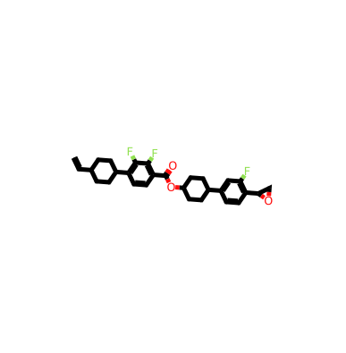 C=CC1CCC(c2ccc(C(=O)OC3CCC(c4ccc(C5CO5)c(F)c4)CC3)c(F)c2F)CC1